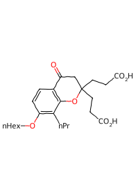 CCCCCCOc1ccc2c(c1CCC)OC(CCC(=O)O)(CCC(=O)O)CC2=O